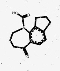 O=C1CCCN(C(=O)O)c2c1ccc1c2CCC1